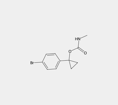 CNC(=O)OC1(c2ccc(Br)cc2)CC1